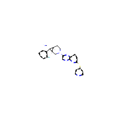 NC[C@]1(c2ccccc2F)[C@@H]2CCN(c3cnc4nc(Sc5ccncc5)ccc4n3)C[C@@H]21